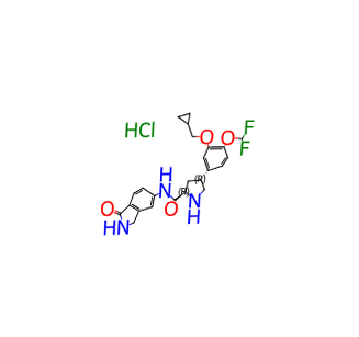 Cl.O=C1NCc2cc(NC(=O)[C@H]3C[C@H](c4ccc(OC(F)F)c(OCC5CC5)c4)CN3)ccc21